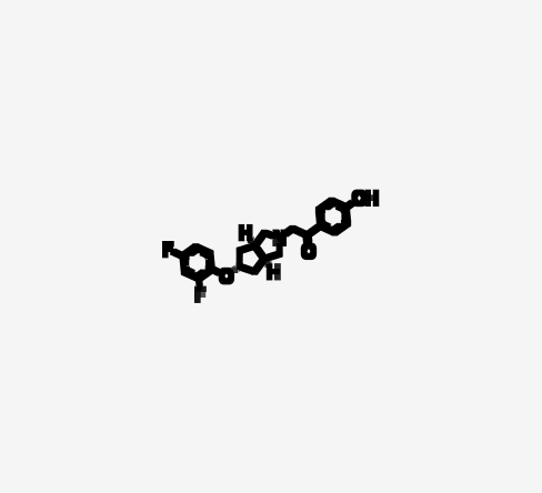 O=C(CN1C[C@H]2C[C@H](Oc3ccc(F)cc3F)C[C@H]2C1)c1ccc(O)cc1